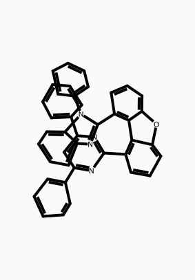 c1ccc(-c2cc(-c3ccccc3)nc(-c3cccc4oc5cccc(-c6nc7ccccc7n6-c6ccccc6)c5c34)n2)cc1